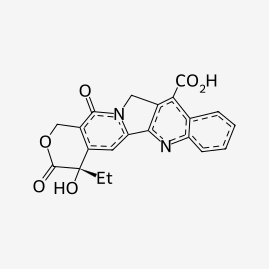 CC[C@@]1(O)C(=O)OCc2c1cc1n(c2=O)Cc2c-1nc1ccccc1c2C(=O)O